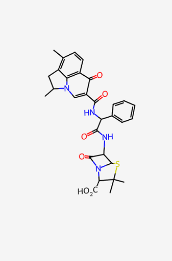 Cc1ccc2c(=O)c(C(=O)NC(C(=O)NC3C(=O)N4C3SC(C)(C)C4C(=O)O)c3ccccc3)cn3c2c1CC3C